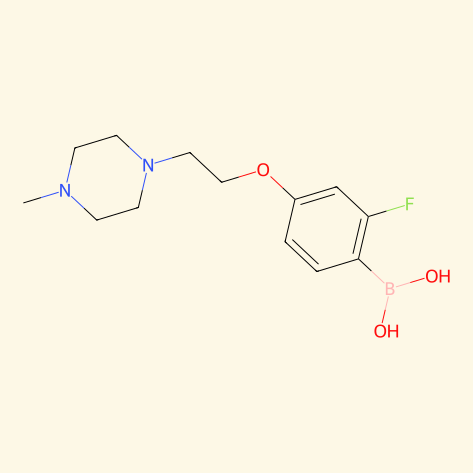 CN1CCN(CCOc2ccc(B(O)O)c(F)c2)CC1